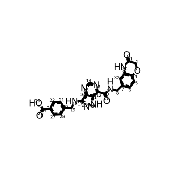 O=C1COc2ccc(CNC(=O)c3ncnc4c(NCc5ccc(C(=O)O)cc5)n[nH]c34)cc2N1